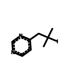 CC(C)(I)Cc1ccncn1